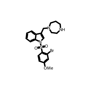 COc1ccc(S(=O)(=O)n2cc(CN3CCCNCC3)c3ccccc32)c(Br)c1